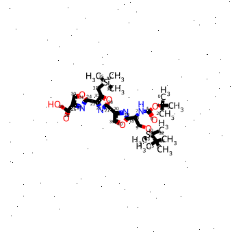 CC(C)(C)OC(=O)NC(CO[Si](C)(C)C(C)(C)C)c1nc(-c2nc(-c3nc(C(=O)O)co3)c(C[Si](C)(C)C)o2)co1